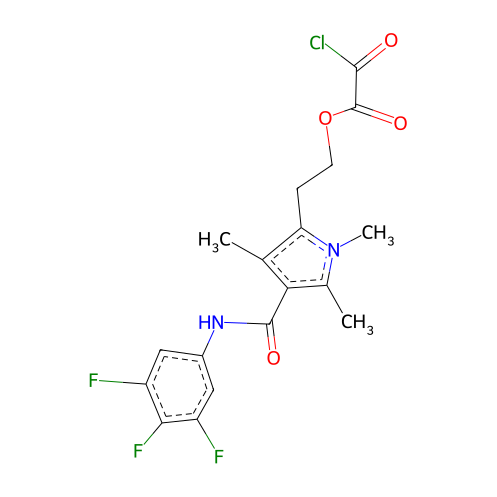 Cc1c(C(=O)Nc2cc(F)c(F)c(F)c2)c(C)n(C)c1CCOC(=O)C(=O)Cl